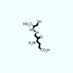 N[C@@H](CCC(=O)O)C(=O)C[Se]N[C@@H](CS)C(=O)O